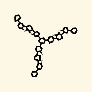 c1ccc(-c2ccc3oc4c(ccc5c6ccc(-c7cc(-c8ccc9c(c8)oc8c9ccc9c%10cc(-c%11ccccc%11)ccc%10oc98)cc(-c8ccc9c(c8)oc8c9ccc9c%10cc(-c%11ccccc%11)ccc%10oc98)c7)cc6oc54)c3c2)cc1